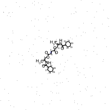 C[C@H](COC(=O)/C=C/C(=O)OC[C@@H](C)NC(=O)C1CCCCC1)NC(=O)C1CCCCC1